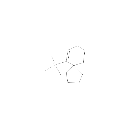 C[Si](C)(C)C1=CCCCC12CCCC2